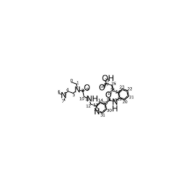 CCN(CCN(C)C)C(=O)CNCc1cc(C(=O)Nc2ccccc2/C=C/C(=O)O)ccn1